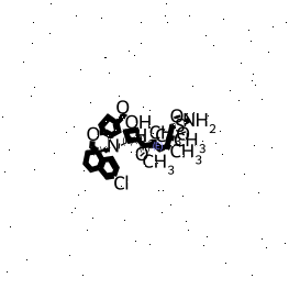 CO[C@@H](/C(C)=C/C(C)C(C)(C)CS(N)(=O)=O)[C@@H]1CC[C@H]1CN1C[C@@]2(CCCc3cc(Cl)ccc32)COc2ccc(C(=O)O)cc21